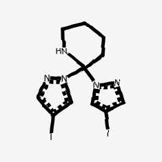 Ic1cnn(C2(n3cc(I)cn3)CCCCN2)c1